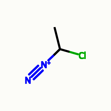 CC(Cl)[N+]#N